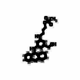 CS(=O)(=O)OCCCNc1cc(CO)cc(Nc2c3ccccc3nc3ccccc23)c1